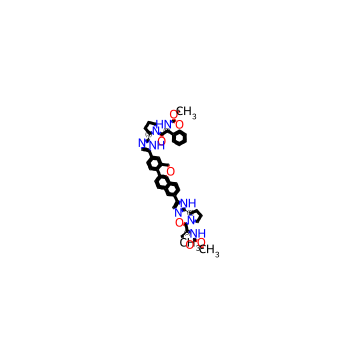 CC[C@H](NC(=O)OC)C(=O)N1CCC[C@H]1c1ncc(-c2ccc3c4c(ccc3c2)-c2ccc(-c3cnc([C@@H]5CCCN5C(=O)[C@H](NC(=O)OC)c5ccccc5)[nH]3)cc2CO4)[nH]1